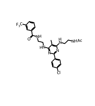 CC(=O)NCCNc1nc(-c2ccc(Cl)cc2)nc(NCCNC(=O)c2cccc(C(F)(F)F)c2)c1C